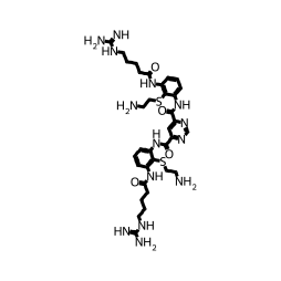 N=C(N)NCCCCC(=O)Nc1cccc(NC(=O)c2cc(C(=O)Nc3cccc(NC(=O)CCCCNC(=N)N)c3SCCN)ncn2)c1SCCN